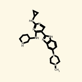 CN1CCN(c2ccc3[nH]c(-c4cnc(NC5CC5)nc4NC4CCCNC4)nc3c2)CC1